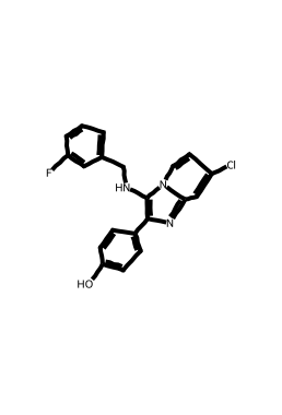 Oc1ccc(-c2nc3cc(Cl)ccn3c2NCc2cccc(F)c2)cc1